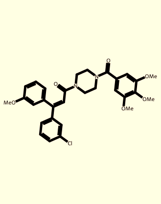 COc1cccc(/C(=C\C(=O)N2CCN(C(=O)c3cc(OC)c(OC)c(OC)c3)CC2)c2cccc(Cl)c2)c1